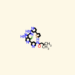 CC(C)CC(=O)Nc1cncc(-c2ncc3[nH]nc(-c4nc5c(-c6cccs6)ccnc5[nH]4)c3c2F)c1